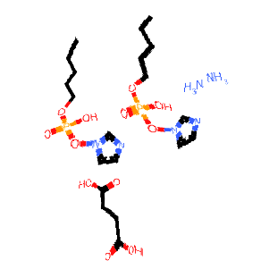 CCCCCOP(=O)(O)On1ccnc1.CCCCCOP(=O)(O)On1ccnc1.N.N.O=C(O)CCC(=O)O